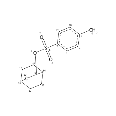 Cc1ccc(S(=O)(=O)OC2CC3CCC2CC3)cc1